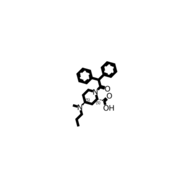 CCCN(C)[C@H]1CCN(C(=O)C(c2ccccc2)c2ccccc2)[C@H](C(=O)O)C1